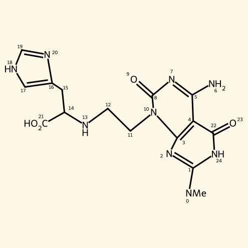 CNc1nc2c(c(N)nc(=O)n2CCNC(Cc2c[nH]cn2)C(=O)O)c(=O)[nH]1